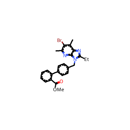 CCc1nc2c(C)c(Br)c(C)nc2n1Cc1ccc(-c2ccccc2C(=O)OC)cc1